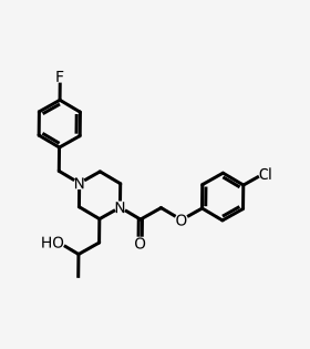 CC(O)CC1CN(Cc2ccc(F)cc2)CCN1C(=O)COc1ccc(Cl)cc1